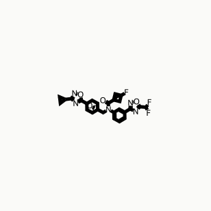 O=C(N(CC12CCC(c3nc(C4CC4)no3)(CC1)OC2)c1cccc(-c2noc(C(F)F)n2)c1)C12CC(F)(C1)C2